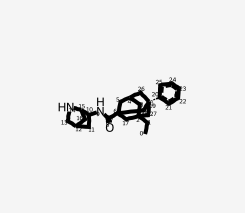 CCC12CC3CC(C(=O)NC4CC5CNC4C5)(C1)C[C@@](c1ccccc1)(C3)C2